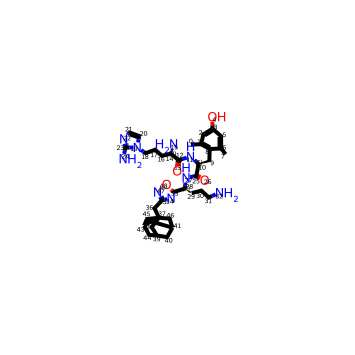 Cc1cc(O)cc(C)c1C[C@H](NC(=O)[C@H](N)CCCn1ccnc1N)C(=O)N[C@H](CCCN)c1nc(CC23CC4CC(CC(C4)C2)C3)no1